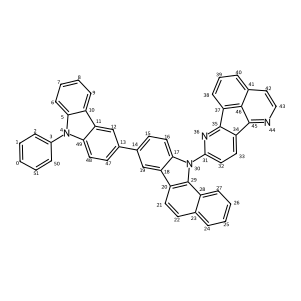 c1ccc(-n2c3ccccc3c3cc(-c4ccc5c(c4)c4ccc6ccccc6c4n5-c4ccc5c(n4)-c4cccc6ccnc-5c46)ccc32)cc1